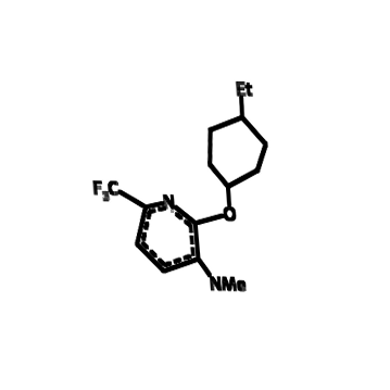 CCC1CCC(Oc2nc(C(F)(F)F)ccc2NC)CC1